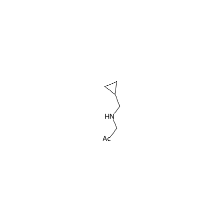 CC(=O)CNCC1CC1